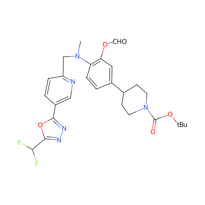 CN(Cc1ccc(-c2nnc(C(F)F)o2)cn1)c1ccc(C2CCN(C(=O)OC(C)(C)C)CC2)cc1OC=O